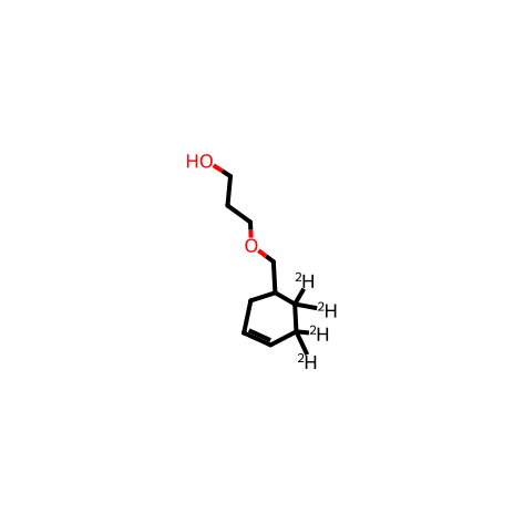 [2H]C1([2H])C=CCC(COCCCO)C1([2H])[2H]